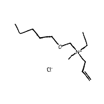 C=CC[N+](C)(CC)COCCCCC.[Cl-]